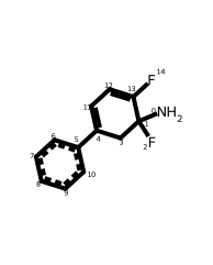 NC1(F)CC(c2ccccc2)=CC=C1F